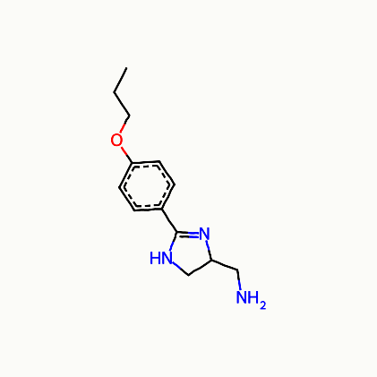 CCCOc1ccc(C2=NC(CN)CN2)cc1